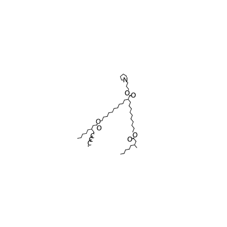 C=C=C=C=CC(CCCCC)CC(=O)OCCCCCCCCCCC(CCCCCCCCCCOC(=O)CC(C)CCCCC)C(=O)OCCCN1CCCC1